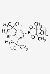 CC(C)(C)c1cc(B2OC(C)(C)C(C)(C)O2)cc(C(C)(C)C)c1Br